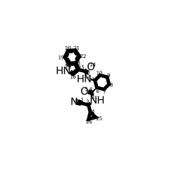 N#CC(NC(=O)[C@@H]1CCCC[C@@H]1NC(=O)c1c[nH]c2ccccc12)C1CC1